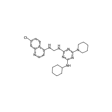 Clc1ccc2c(NCNc3nc(NC4CCCCC4)nc(N4CCCCC4)n3)ccnc2c1